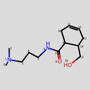 CN(C)CCCNC(=O)C1CC=CCC1CO